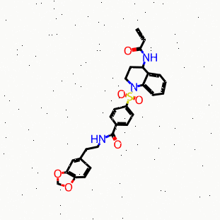 C=CC(=O)NC1CCN(S(=O)(=O)c2ccc(C(=O)NCCc3ccc4c(c3)OCO4)cc2)c2ccccc21